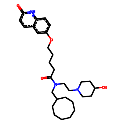 O=C(CCCCOc1ccc2[nH]c(=O)ccc2c1)N(CCN1CCC(O)CC1)CC1CCCCCCC1